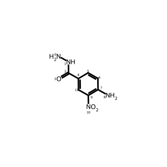 NNC(=O)c1ccc(N)c([N+](=O)[O-])c1